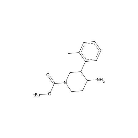 Cc1ccccc1C1CN(C(=O)OC(C)(C)C)CCC1N